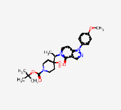 COc1ccc(-n2ncc3c(=O)n(C(C)C4(O)CCN(C(=O)OC(C)(C)C)CC4)ccc32)cc1